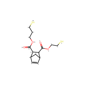 O=C(OCCS)C1C2C=CC(C2)C1C(=O)OCCCS